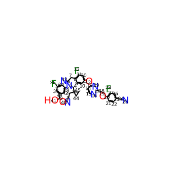 N#CCC1(Cn2c(Cc3ccc(Oc4ccnc(COc5ccc(C#N)cc5F)n4)cc3F)nc3c(F)cc(C(=O)O)cc32)CC1